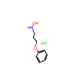 Cl.ONCCCOc1ccccc1